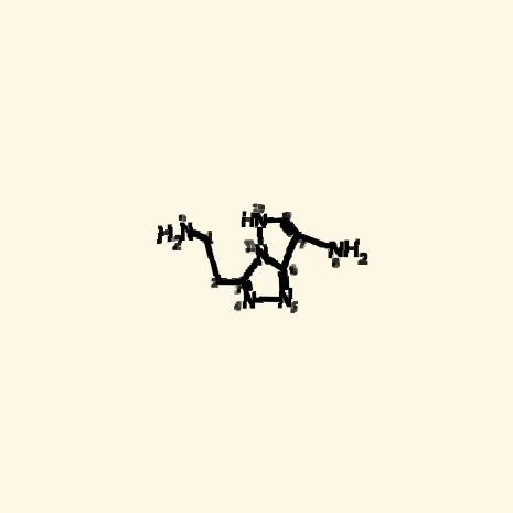 NCCc1nnc2c(N)c[nH]n12